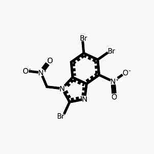 O=[N+]([O-])Cn1c(Br)nc2c([N+](=O)[O-])c(Br)c(Br)cc21